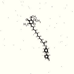 COC1=C(OC)C(=O)C(CCCCCCCCCCOC(=O)COc2ccc(-c3cc(=S)ss3)cc2)=C(C)C1=O